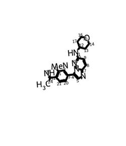 CNc1cc(-c2cnc3ccc(NC4CCOCC4)nn23)ccc1C(C)=N